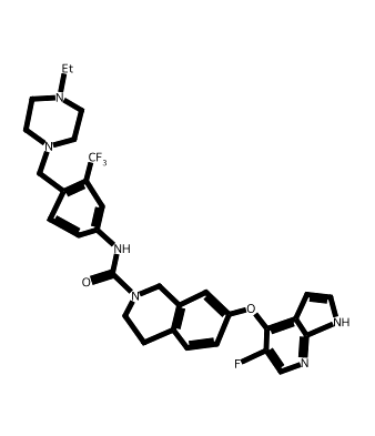 CCN1CCN(Cc2ccc(NC(=O)N3CCc4ccc(Oc5c(F)cnc6[nH]ccc56)cc4C3)cc2C(F)(F)F)CC1